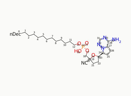 CCCCCCCCCCCCCCCCCCCCCCOP(=O)(O)OC[C@]1(C#N)CC[C@H](c2ccc3c(N)ncnn23)O1